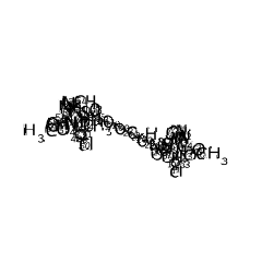 COC(=O)C[C@@H]1N=C(c2ccc(Cl)cc2)c2c(sc(C(=O)NCCOCCOCCOCCOCCNC(=O)c3sc4c(c3C)C(c3ccc(Cl)cc3)=N[C@@H](CC(=O)OC)c3nnc(C)n3-4)c2C)-n2c(C)nnc21